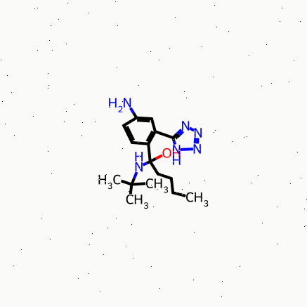 CCCCC(O)(NC(C)(C)C)c1ccc(N)cc1-c1nnn[nH]1